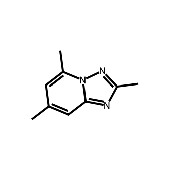 Cc1cc(C)n2nc(C)nc2c1